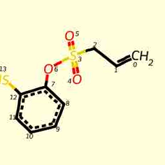 C=CCS(=O)(=O)Oc1ccccc1S